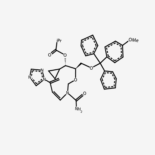 C=C(/C=C\N(CO[C@H](COC(c1ccccc1)(c1ccccc1)c1ccc(OC)cc1)[C@@H](OC(=O)C(C)C)C1CC1)C(N)=O)n1cncn1